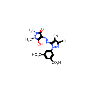 Cn1c(O)c(N=Nc2c(C#N)c(C(C)(C)C)nn2-c2cc(C(=O)O)cc(C(=O)O)c2)c(=O)n1C